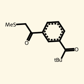 CSCC(=O)c1cccc(C(=O)C(C)(C)C)c1